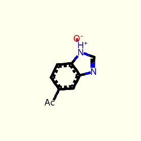 CC(=O)c1ccc2c(c1)N=C[NH+]2[O-]